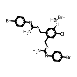 Br.Br.NC(=Nc1ccc(Br)cc1)SCc1cc(Cl)c(Cl)cc1CS/C(N)=N/c1ccc(Br)cc1